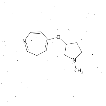 CN1CCC(OC2=CCC=NC=C2)C1